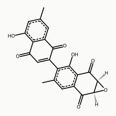 Cc1cc(O)c2c(c1)C(=O)C(c1c(C)cc3c(c1O)C(=O)[C@H]1O[C@H]1C3=O)=CC2=O